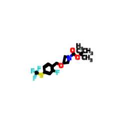 CC(C)(C)OC(=O)N1CC(OCc2ccc(SC(F)(F)F)cc2F)C1